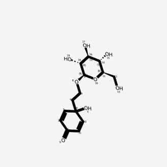 O=C1C=CC(O)(CCO[C@@H]2O[C@H](CO)[C@@H](O)[C@H](O)[C@H]2O)C=C1